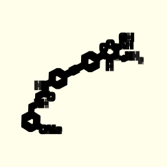 COc1cccc(CNCC(=O)Nc2ccc(C#Cc3ccc(C(=O)N[C@@H](CN)C(=O)NO)cc3)cc2)c1